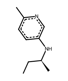 CC[C@H](C)Nc1ccc(C)nc1